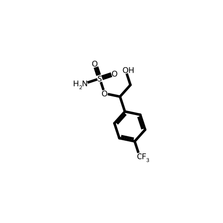 NS(=O)(=O)OC(CO)c1ccc(C(F)(F)F)cc1